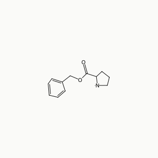 O=C(OCc1ccccc1)C1CCC[N]1